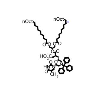 CCCCCCCCC=CCCCCCCCC(=O)OCC(COC(=O)CCCCCCC/C=C\CCCCCCCC)OC(=O)C(CC(=O)O)C[C@H]1CN(C(c2ccccc2)(c2ccccc2)c2ccccc2)C[C@H](n2cc(C)c(=O)[nH]c2=O)O1